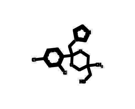 CC1(CO)COC(Cn2ccnc2)(c2ccc(Cl)cc2Cl)OC1